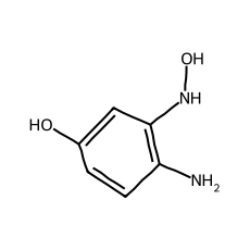 Nc1ccc(O)cc1NO